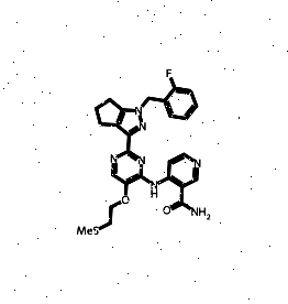 CSCCOc1cnc(-c2nn(Cc3ccccc3F)c3c2CCC3)nc1Nc1ccncc1C(N)=O